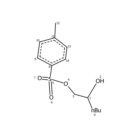 CCCCC(O)COS(=O)(=O)c1ccc(C)cc1